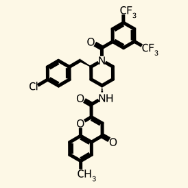 Cc1ccc2oc(C(=O)N[C@H]3CCN(C(=O)c4cc(C(F)(F)F)cc(C(F)(F)F)c4)[C@H](Cc4ccc(Cl)cc4)C3)cc(=O)c2c1